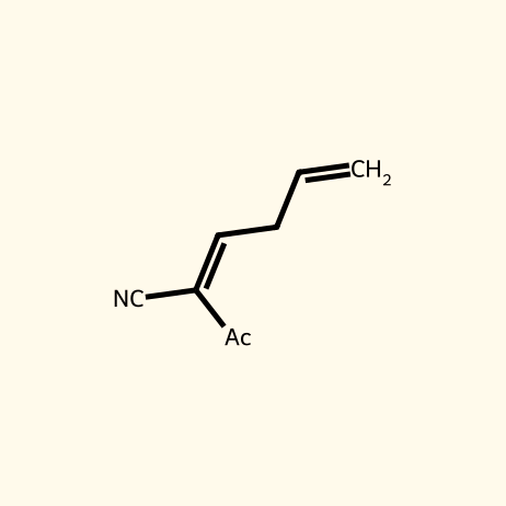 C=CCC=C(C#N)C(C)=O